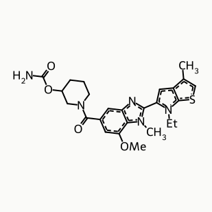 CCn1c(-c2nc3cc(C(=O)N4CCCC(OC(N)=O)C4)cc(OC)c3n2C)cc2c(C)csc21